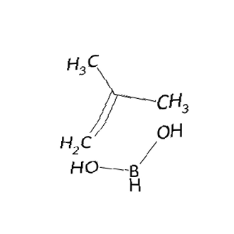 C=C(C)C.OBO